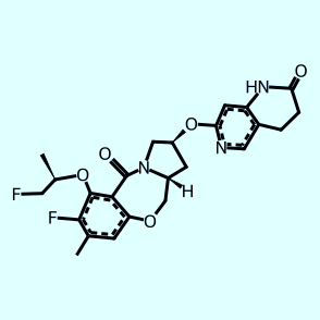 Cc1cc2c(c(O[C@H](C)CF)c1F)C(=O)N1C[C@@H](Oc3cc4c(cn3)CCC(=O)N4)C[C@@H]1CO2